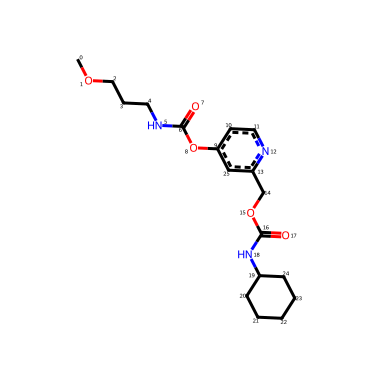 COCCCNC(=O)Oc1ccnc(COC(=O)NC2CCCCC2)c1